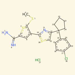 CSc1sc(C(=N)N)cc1-c1nc(C2(c3ccc(Cl)cc3)CCCC2)cs1.Cl